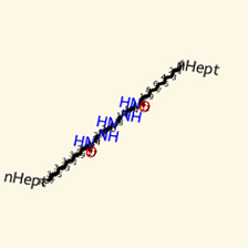 CCCCCCCC=CCCCCCCCCC(=O)NCCNCCNCCNCCNC(=O)CCCCCCCCC=CCCCCCCC